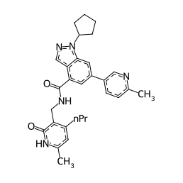 CCCc1cc(C)[nH]c(=O)c1CNC(=O)c1cc(-c2ccc(C)nc2)cc2c1cnn2C1CCCC1